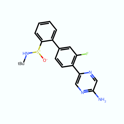 CC(C)(C)N[S+]([O-])c1ccccc1-c1ccc(-c2cnc(N)cn2)c(F)c1